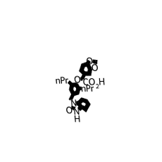 CCCc1cc(Cn2c(=O)[nH]c3ccccc32)cc(CCC)c1OC(C(=O)O)c1ccc2c(c1)OCO2